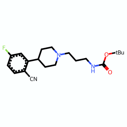 CC(C)(C)OC(=O)NCCCN1CCC(c2cc(F)ccc2C#N)CC1